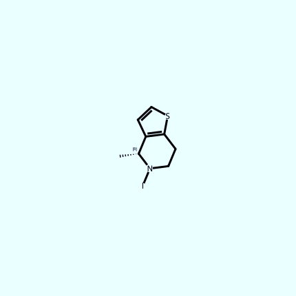 C[C@@H]1c2ccsc2CCN1I